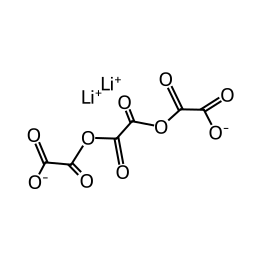 O=C([O-])C(=O)OC(=O)C(=O)OC(=O)C(=O)[O-].[Li+].[Li+]